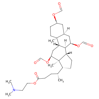 C[C@H](CCC(=O)OCCN(C)C)[C@H]1CC[C@H]2[C@@H]3[C@H](OC=O)C[C@@H]4C[C@H](OC=O)CC[C@]4(C)[C@H]3C[C@H](OC=O)[C@]12C